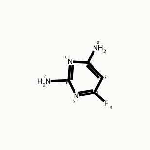 Nc1cc(F)nc(N)n1